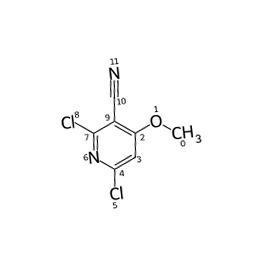 COc1cc(Cl)nc(Cl)c1C#N